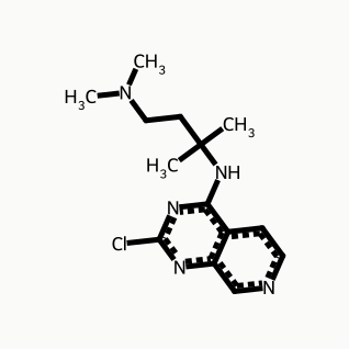 CN(C)CCC(C)(C)Nc1nc(Cl)nc2cnccc12